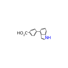 O=C(O)c1ccc(-c2cccc3[nH]ccc23)cc1